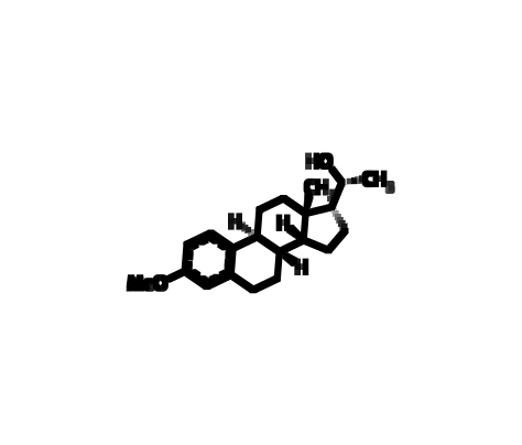 COc1ccc2c(c1)CC[C@@H]1[C@@H]2CC[C@@]2(C)[C@@H]1CC[C@H]2[C@@H](C)O